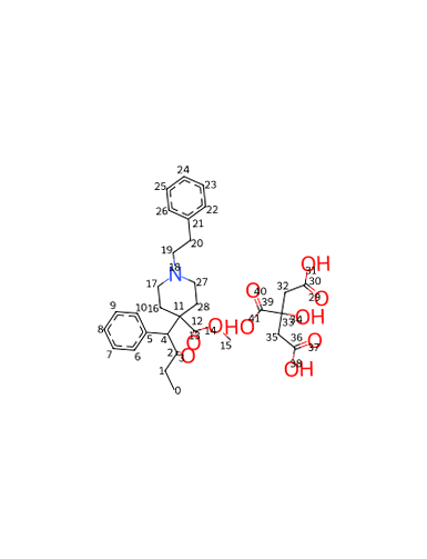 CCC(=O)C(c1ccccc1)C1(C(=O)OC)CCN(CCc2ccccc2)CC1.O=C(O)CC(O)(CC(=O)O)C(=O)O